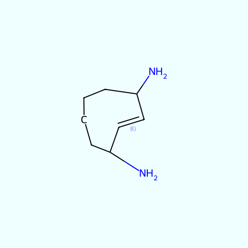 NC1/C=C/C(N)CCCC1